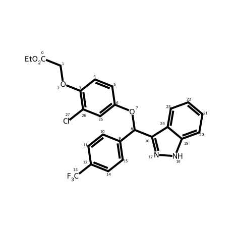 CCOC(=O)COc1ccc(OC(c2ccc(C(F)(F)F)cc2)c2n[nH]c3ccccc23)cc1Cl